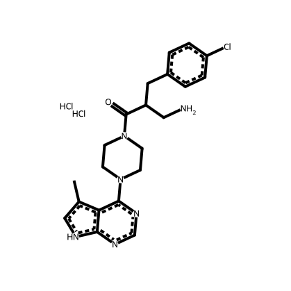 Cc1c[nH]c2ncnc(N3CCN(C(=O)C(CN)Cc4ccc(Cl)cc4)CC3)c12.Cl.Cl